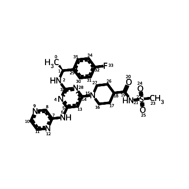 C[C@H](Nc1nc(Nc2cnccn2)cc(N2CCC(C(=O)NS(C)(=O)=O)CC2)n1)c1ccc(F)cc1